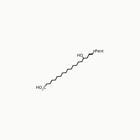 CCCCCC=CCC(O)CCCCCCCCCCCCCCC(=O)O